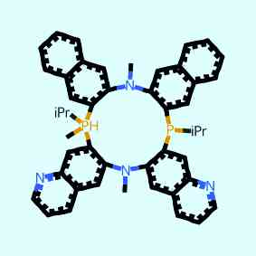 CC(C)P1c2cc3ccccc3cc2N(C)c2cc3ccccc3cc2[PH](C)(C(C)C)c2cc3ncccc3cc2N(C)c2cc3cccnc3cc21